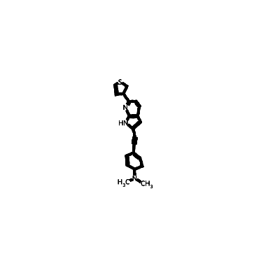 CN(C)C1C=CC(C#Cc2cc3ccc(C4C=CSC4)nc3[nH]2)=CC1